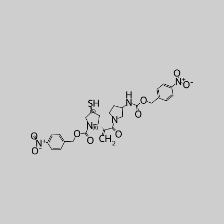 C=C(C(=O)N1CCC(NC(=O)OCc2ccc([N+](=O)[O-])cc2)C1)[C@H]1C[C@H](S)CN1C(=O)OCc1ccc([N+](=O)[O-])cc1